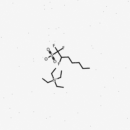 CCCCCC(F)C(F)(F)S(=O)(=O)[O-].CC[N+](CC)(CC)CC